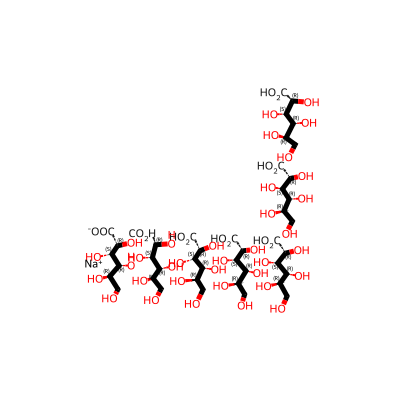 O=C(O)[C@H](O)[C@@H](O)[C@H](O)[C@H](O)CO.O=C(O)[C@H](O)[C@@H](O)[C@H](O)[C@H](O)CO.O=C(O)[C@H](O)[C@@H](O)[C@H](O)[C@H](O)CO.O=C(O)[C@H](O)[C@@H](O)[C@H](O)[C@H](O)CO.O=C(O)[C@H](O)[C@@H](O)[C@H](O)[C@H](O)CO.O=C(O)[C@H](O)[C@@H](O)[C@H](O)[C@H](O)CO.O=C([O-])[C@H](O)[C@@H](O)[C@H](O)[C@H](O)CO.[Na+]